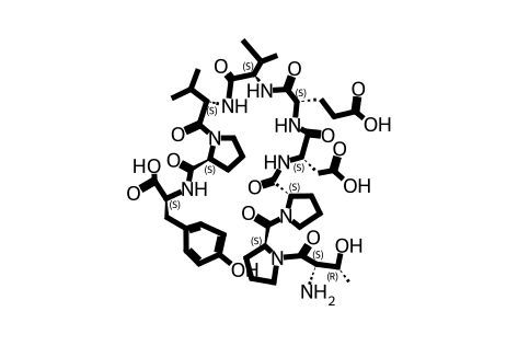 CC(C)[C@H](NC(=O)[C@H](CCC(=O)O)NC(=O)[C@H](CC(=O)O)NC(=O)[C@@H]1CCCN1C(=O)[C@@H]1CCCN1C(=O)[C@@H](N)[C@@H](C)O)C(=O)N[C@H](C(=O)N1CCC[C@H]1C(=O)N[C@@H](Cc1ccc(O)cc1)C(=O)O)C(C)C